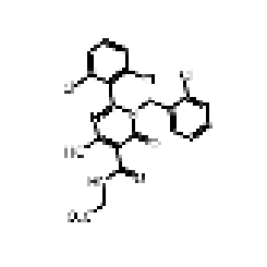 O=C(O)CNC(=O)c1c(O)nc(-c2c(Cl)cccc2Cl)n(Cc2ccccc2Cl)c1=O